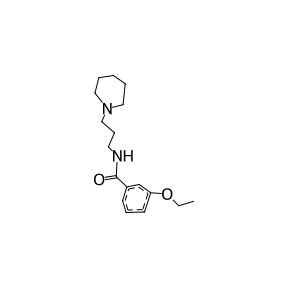 CCOc1cccc(C(=O)NCCCN2CCCCC2)c1